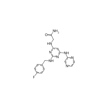 NC(=O)CNc1cc(Nc2cnccn2)nc(NCc2ccc(F)cc2)n1